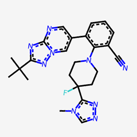 Cn1cnnc1C1(F)CCN(c2c(C#N)cccc2-c2cnc3nc(C(C)(C)C)nn3c2)CC1